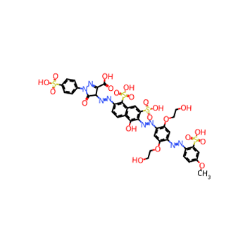 COc1ccc(/N=N/c2cc(OCCO)c(/N=N/c3c(S(=O)(=O)O)cc4c(S(=O)(=O)O)c(/N=N/C5C(=O)N(c6ccc(S(=O)(=O)O)cc6)N=C5C(=O)O)ccc4c3O)cc2OCCO)c(S(=O)(=O)O)c1